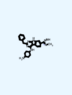 C/N=C(\N=N)c1ccc2c(c1)[nH]c1nc(Cc3ccccc3)nc(NC3CCC(N)CC3)c12